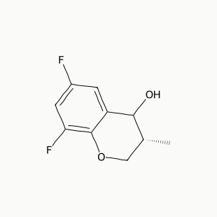 C[C@@H]1COc2c(F)cc(F)cc2C1O